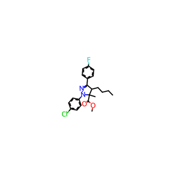 CCCCC1C(c2ccc(F)cc2)=NN(c2ccc(Cl)cc2)C1(C)C(=O)OC